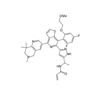 C=CC(=O)NC(C)c1cc(-c2nc(-c3cnc4c(c3)CN(C)CC4(C)C)c3ccsc3c2-c2c(F)cc(F)cc2OCCOC)n[nH]1